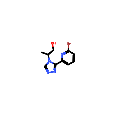 CC(CO)n1cnnc1-c1cccc(Br)n1